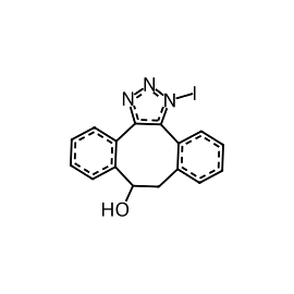 OC1Cc2ccccc2-c2c(nnn2I)-c2ccccc21